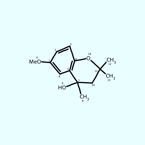 COc1ccc2c(c1)C(C)(O)CC(C)(C)O2